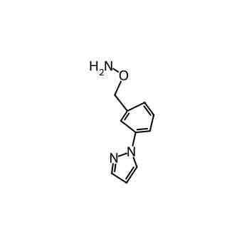 NOCc1cccc(-n2cccn2)c1